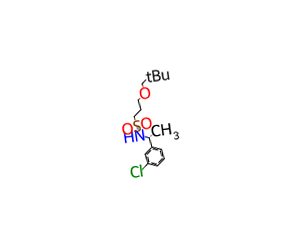 C[C@@H](NS(=O)(=O)CCCOCC(C)(C)C)c1cccc(Cl)c1